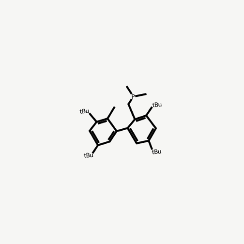 Cc1c(-c2cc(C(C)(C)C)cc(C(C)(C)C)c2CP(C)C)cc(C(C)(C)C)cc1C(C)(C)C